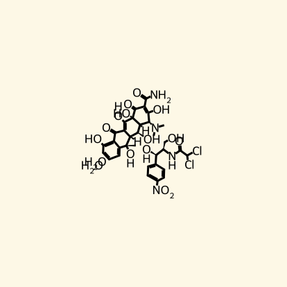 CN(C)[C@@H]1C(O)=C(C(N)=O)C(=O)[C@@]2(O)C(O)=C3C(=O)c4c(O)cccc4[C@@](C)(O)[C@H]3[C@H](O)[C@@H]12.O.O.O=C(N[C@H](CO)[C@H](O)c1ccc([N+](=O)[O-])cc1)C(Cl)Cl